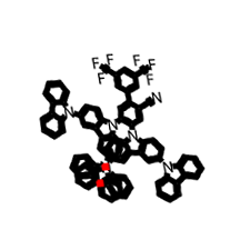 N#Cc1cc(-n2c3ccc(-n4c5ccccc5c5ccccc54)cc3c3cc(-n4c5ccccc5c5ccccc54)ccc32)c(-n2c3ccc(-n4c5ccccc5c5ccccc54)cc3c3cc(-n4c5ccccc5c5ccccc54)ccc32)cc1-c1cc(C(F)(F)F)cc(C(F)(F)F)c1